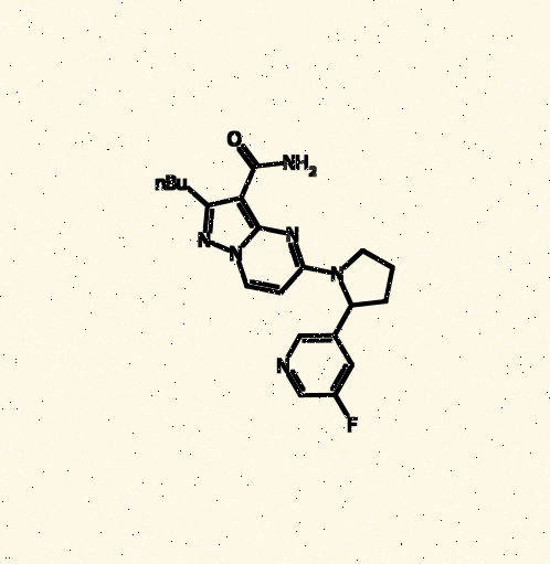 CCCCc1nn2ccc(N3CCCC3c3cncc(F)c3)nc2c1C(N)=O